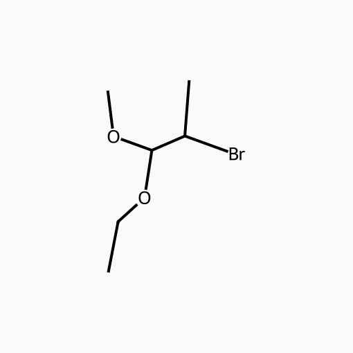 CCOC(OC)C(C)Br